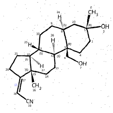 C[C@@]1(O)CC[C@@]2(CO)[C@@H](CC[C@@H]3[C@@H]2CC[C@]2(C)/C(=C\C#N)CC[C@@H]32)C1